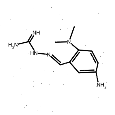 CN(C)c1ccc(N)cc1/C=N/NC(=N)N